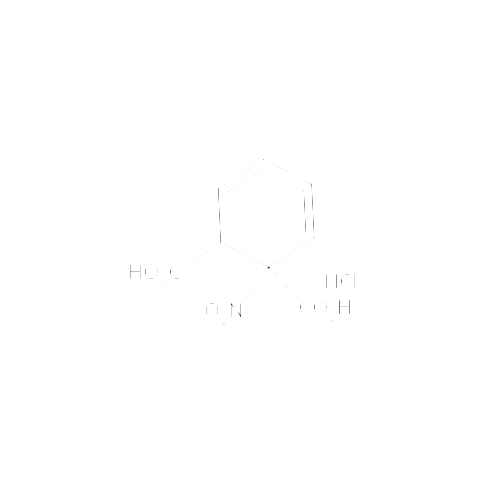 Cl.O=C(O)C1C=CC=CC1(C(=O)O)[N+](=O)[O-]